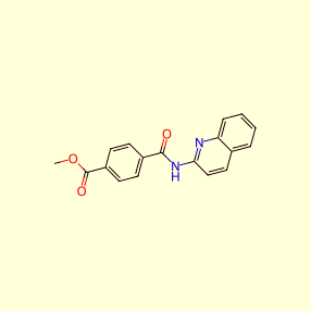 COC(=O)c1ccc(C(=O)Nc2ccc3ccccc3n2)cc1